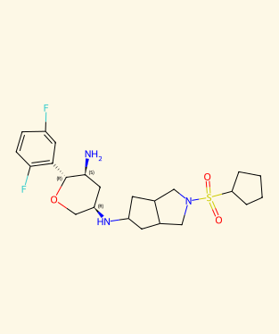 N[C@H]1C[C@@H](NC2CC3CN(S(=O)(=O)C4CCCC4)CC3C2)CO[C@@H]1c1cc(F)ccc1F